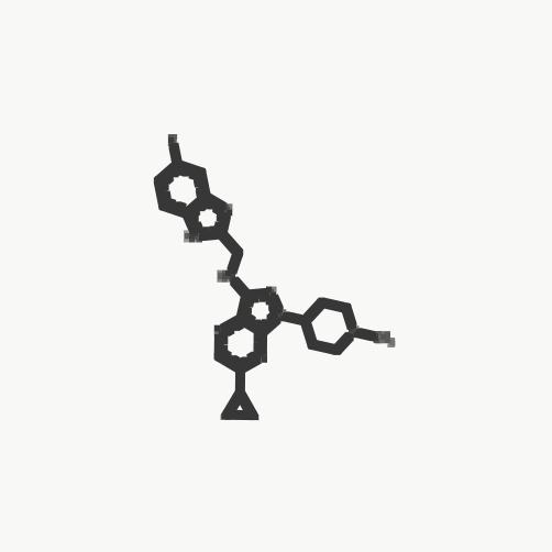 CN1CCC(n2nc(NCc3nc4cc(F)ccc4[nH]3)c3ncc(C4CC4)nc32)CC1